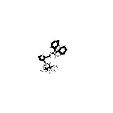 CC1(C)OB(c2ccsc2CO[Si](c2ccccc2)(c2ccccc2)C(C)(C)C)OC1(C)C